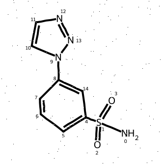 NS(=O)(=O)c1cccc(-n2ccnn2)c1